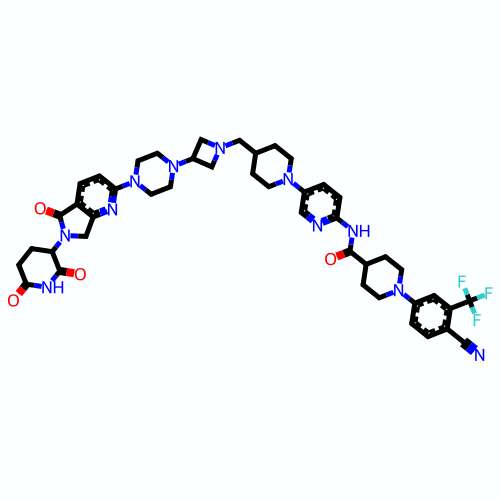 N#Cc1ccc(N2CCC(C(=O)Nc3ccc(N4CCC(CN5CC(N6CCN(c7ccc8c(n7)CN(C7CCC(=O)NC7=O)C8=O)CC6)C5)CC4)cn3)CC2)cc1C(F)(F)F